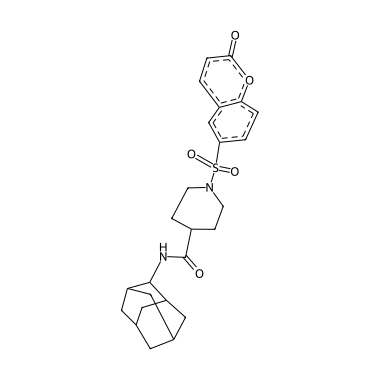 O=C(NC1C2CC3CC(C2)CC1C3)C1CCN(S(=O)(=O)c2ccc3oc(=O)ccc3c2)CC1